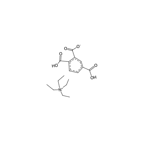 CC[N+](CC)(CC)CC.O=C(O)c1ccc(C(=O)O)c(C(=O)[O-])c1